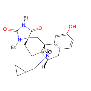 CCN1C(=O)N(CC)[C@]2(CC[C@@]3(N=O)[C@H]4Cc5ccc(O)cc5[C@@]3(CCN4CC3CC3)C2)C1=O